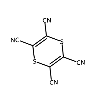 N#CC1=C(C#N)SC(C#N)=C(C#N)S1